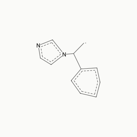 [CH2]C(c1ccccc1)n1ccnc1